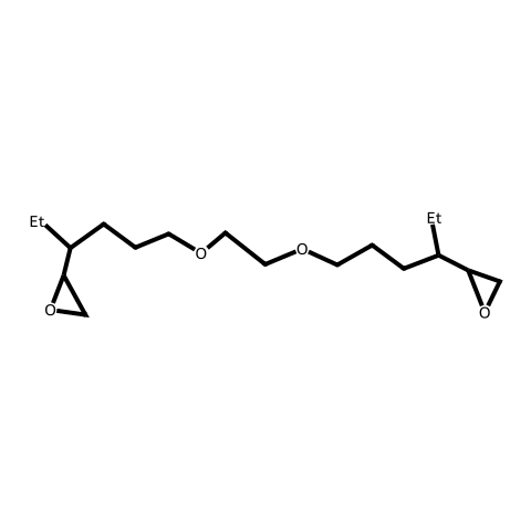 CCC(CCCOCCOCCCC(CC)C1CO1)C1CO1